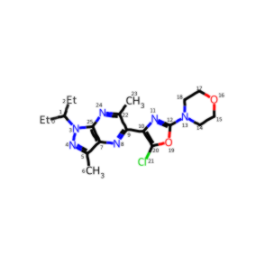 CCC(CC)n1nc(C)c2nc(-c3nc(N4CCOCC4)oc3Cl)c(C)nc21